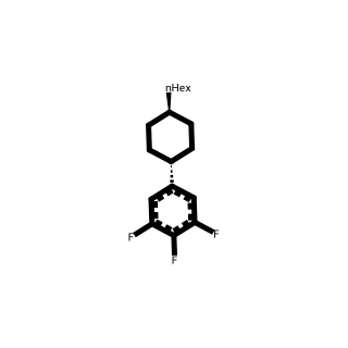 CCCCCC[C@H]1CC[C@H](c2cc(F)c(F)c(F)c2)CC1